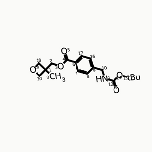 CC1(COC(=O)c2ccc(CNC(=O)OC(C)(C)C)cc2)COC1